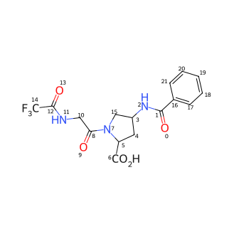 O=C(NC1CC(C(=O)O)N(C(=O)CNC(=O)C(F)(F)F)C1)c1ccccc1